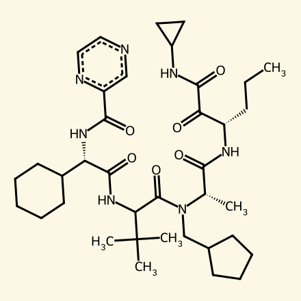 CCC[C@H](NC(=O)[C@H](C)N(CC1CCCC1)C(=O)C(NC(=O)[C@@H](NC(=O)c1cnccn1)C1CCCCC1)C(C)(C)C)C(=O)C(=O)NC1CC1